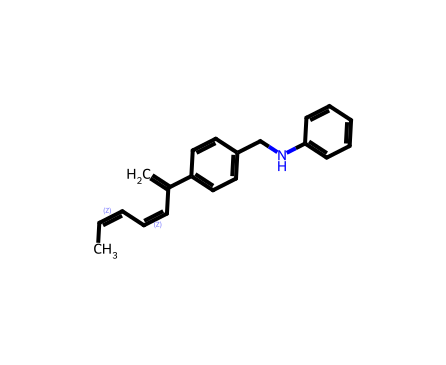 C=C(/C=C\C=C/C)c1ccc(CNc2ccccc2)cc1